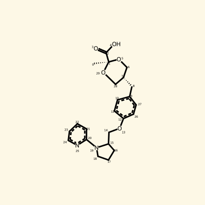 C[C@]1(C(=O)O)OC[C@H](Cc2ccc(OCC3CCCN3c3ccccn3)cc2)CO1